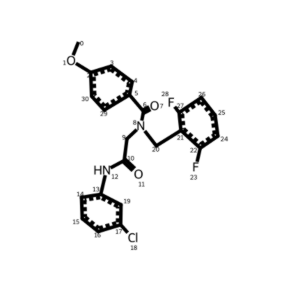 COc1ccc(C(=O)N(CC(=O)Nc2cccc(Cl)c2)Cc2c(F)cccc2F)cc1